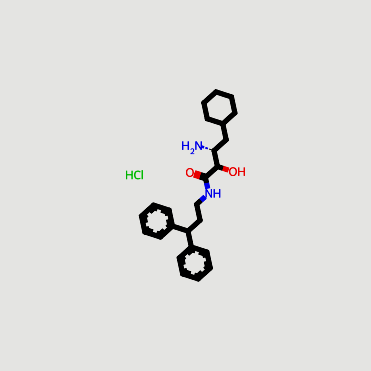 Cl.N[C@H](CC1CCCCC1)C(O)C(=O)NCCC(c1ccccc1)c1ccccc1